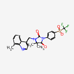 Cc1cccc2c(CN3C(=O)N(c4ccc(S(=O)(=O)C(F)(F)F)cc4)C(=O)C3(C)C)ccnc12